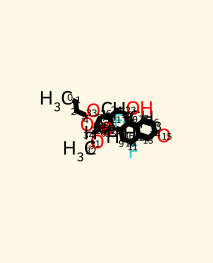 CCCC1O[C@@H]2C[C@H]3[C@@H]4C[C@H](F)C5=CC(=O)C=C[C@]5(C)[C@@]4(F)[C@@H](O)C[C@]3(C)[C@]2(C(=O)COC)O1